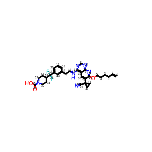 C=CCCCCOc1nc2ncnc(NCCc3cccc(C(F)(F)C4CCN(C(=O)O)CC4)c3)c2cc1C1(C#N)CC1